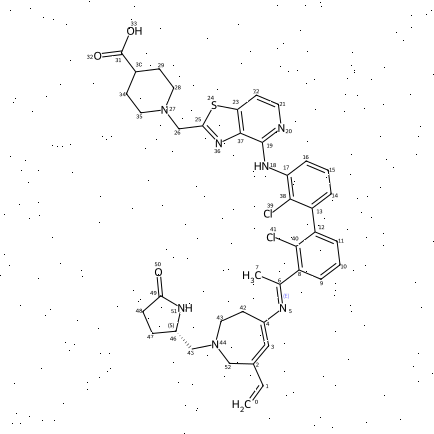 C=CC1=C=C(/N=C(\C)c2cccc(-c3cccc(Nc4nccc5sc(CN6CCC(C(=O)O)CC6)nc45)c3Cl)c2Cl)CCN(C[C@@H]2CCC(=O)N2)C1